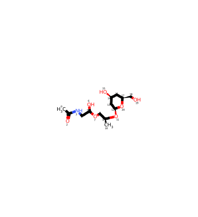 CC(=O)NCC(O)OC[C@H](C)O[C@H]1C[C@@H](O)C[C@@H](CO)O1